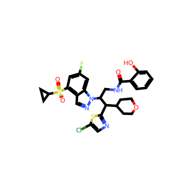 O=C(NCC(C(c1ncc(Cl)s1)C1CCOCC1)n1ncc2c(S(=O)(=O)C3CC3)cc(F)cc21)c1ccccc1O